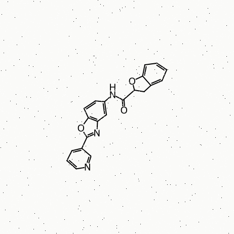 O=C(Nc1ccc2oc(-c3cccnc3)nc2c1)C1Cc2ccccc2O1